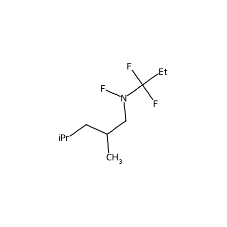 CCC(F)(F)N(F)CC(C)CC(C)C